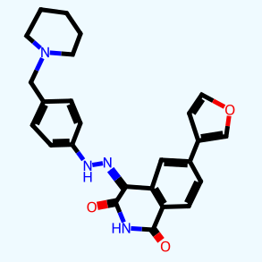 O=C1NC(=O)c2ccc(-c3ccoc3)cc2C1=NNc1ccc(CN2CCCCC2)cc1